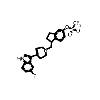 O=S(=O)(Oc1ccc2c(c1)CCC2CN1CC=C(c2c[nH]c3ccc(F)cc23)CC1)C(F)(F)F